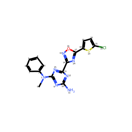 CN(c1ccccc1)c1nc(N)nc(-c2noc(-c3ccc(Cl)s3)n2)n1